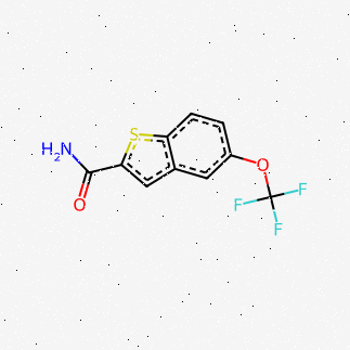 NC(=O)c1cc2cc(OC(F)(F)F)ccc2s1